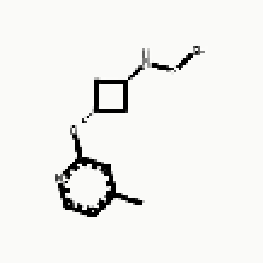 Cc1ccnc(O[C@H]2C[C@H](NSS)C2)c1